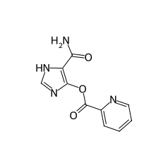 NC(=O)c1[nH]cnc1OC(=O)c1ccccn1